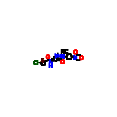 CN1C[C@@H](NC(=O)c2ccc(Cl)s2)C[C@H]1C(=O)Nc1ccc(N2CCOCC2=O)cc1C#N